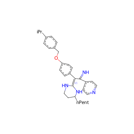 CCCCCC1CCN/C(=C(/C(=N)c2ccncc2)c2ccc(OCc3ccc(C(C)C)cc3)cc2)N1